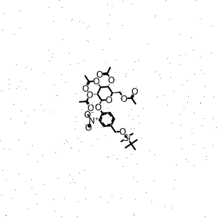 CC(=O)OC[C@H]1O[C@@H](Oc2ccc(CO[Si](C)(C)C(C)(C)C)cc2[N+](=O)[O-])[C@H](OC(C)=O)[C@@H](OC(C)=O)[C@@H]1OC(C)=O